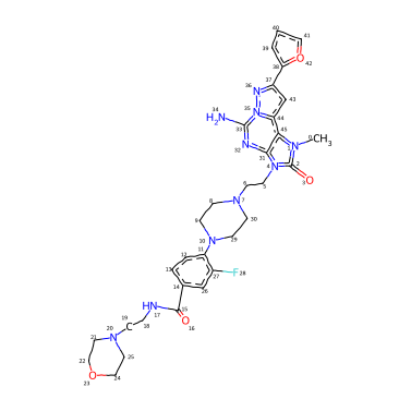 Cn1c(=O)n(CCN2CCN(c3ccc(C(=O)NCCN4CCOCC4)cc3F)CC2)c2nc(N)n3nc(-c4ccco4)cc3c21